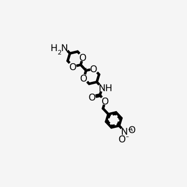 NC1COC([C]2OCC(NC(=O)OCc3ccc([N+](=O)[O-])cc3)CO2)OC1